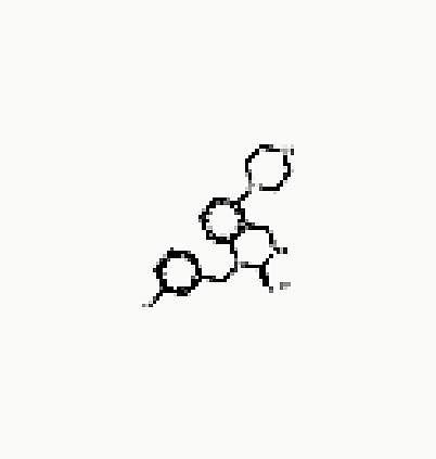 Cl.O=C1NCc2c(N3CCNCC3)cccc2N1Cc1cccc(Cl)c1